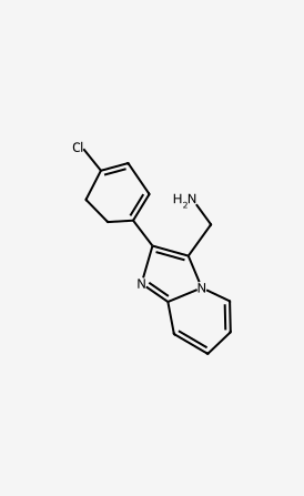 NCc1c(C2=CC=C(Cl)CC2)nc2ccccn12